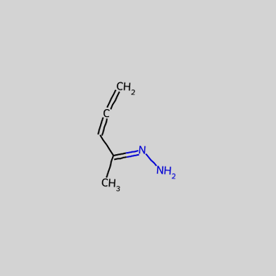 C=C=CC(C)=NN